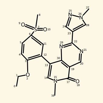 CCOc1ccc(S(C)(=O)=O)cc1-c1cn(C)c(=O)c2cnc(-c3cnn(C)c3)nc12